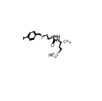 C[C@H](CCC(=O)O)NC(=O)NCCSCc1ccc(I)cc1